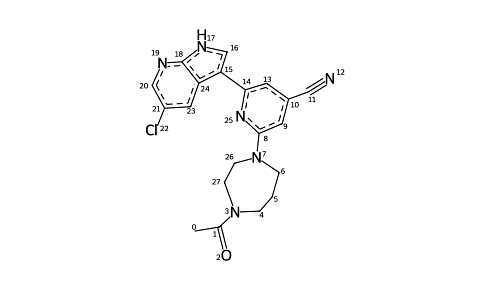 CC(=O)N1CCCN(c2cc(C#N)cc(-c3c[nH]c4ncc(Cl)cc34)n2)CC1